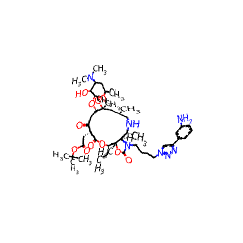 CC[C@H]1OC(=O)[C@H](CC(=O)OC(C)(C)C)C(=O)C[C@@H](O[C@@H]2OC(C)CC(N(C)C)C2O)[C@](C)(OC)C[C@@H](C)CN[C@H](C)[C@H]2N(CCCCn3cc(-c4cccc(N)c4)nn3)C(=O)O[C@]12C